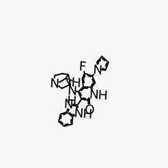 O=c1[nH]c2cc(-n3cccc3)c(F)cc2c(N[C@@H]2CN3CCC2CC3)c1-c1nc2ccccc2[nH]1